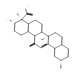 COC(=O)[C@]1(C)C2CC[C@]3(C)C(C(=O)C=C4C5[C@@H](C)[C@H](C)CC[C@]5(C)CC[C@]43C)[C@@]2(C)CC[C@H]1S